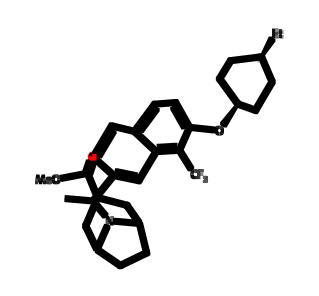 CC[C@H]1CC[C@@H](Oc2ccc3ccc(C(C)N4C5CCC4CC(C(=O)OC)C5)cc3c2C(F)(F)F)CC1